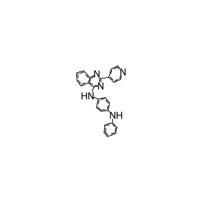 c1ccc(Nc2ccc(Nc3nc(-c4ccncc4)nc4ccccc34)cc2)cc1